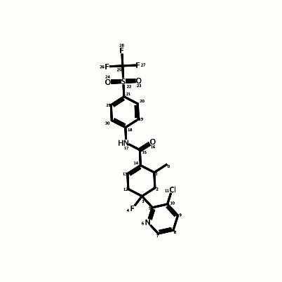 CC1CC(F)(c2ncccc2Cl)CC=C1C(=O)Nc1ccc(S(=O)(=O)C(F)(F)F)cc1